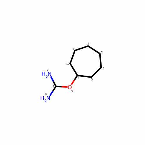 NC(N)OC1CCCCCC1